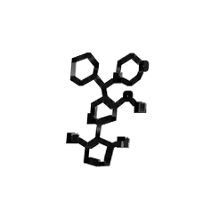 CCOc1cc(-c2c(CC)cccc2CC)ncc1C(C1CCCCC1)N1CCOCC1